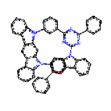 c1ccc(-c2nc(-c3cccc(-n4c5ccccc5c5cc6c7ccccc7n(-c7ccccc7-c7ccccc7)c6cc54)c3)nc(-n3c4ccccc4c4ccccc43)n2)cc1